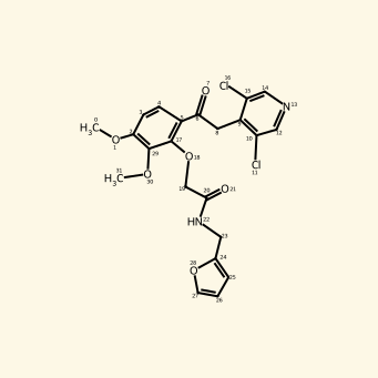 COc1ccc(C(=O)Cc2c(Cl)cncc2Cl)c(OCC(=O)NCc2ccco2)c1OC